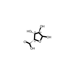 OC(Cl)[C@H]1OC(O)[C@H](O)[C@H]1O